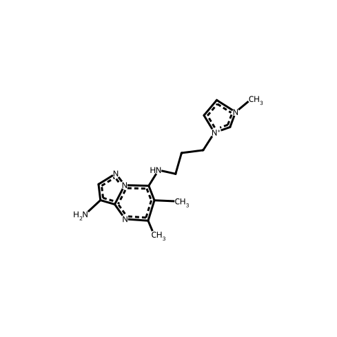 Cc1nc2c(N)cnn2c(NCCC[n+]2ccn(C)c2)c1C